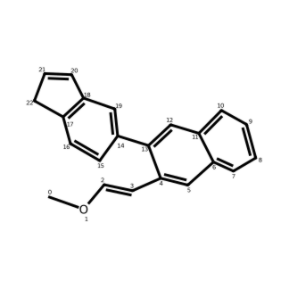 COC=Cc1cc2ccccc2cc1-c1ccc2c(c1)C=CC2